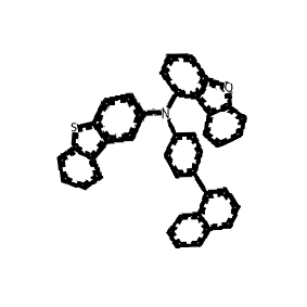 c1ccc2c(-c3ccc(N(c4ccc5sc6ccccc6c5c4)c4cccc5oc6ccccc6c45)cc3)cccc2c1